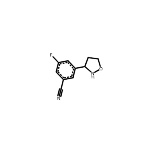 N#Cc1cc(F)cc(C2CCON2)c1